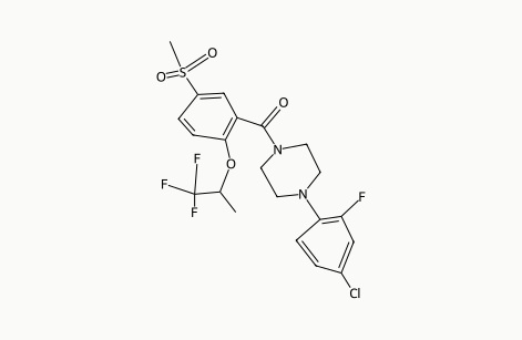 CC(Oc1ccc(S(C)(=O)=O)cc1C(=O)N1CCN(c2ccc(Cl)cc2F)CC1)C(F)(F)F